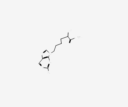 COC(=O)C(CCCCn1cnc2cnc(N)nc21)OC(C)=O